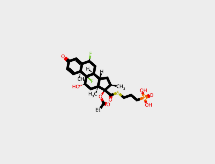 CCC(=O)O[C@]1(C(=O)SCCCP(=O)(O)O)[C@H](C)C[C@H]2[C@@H]3C[C@H](F)C4=CC(=O)C=C[C@]4(C)[C@@]3(F)[C@@H](O)C[C@@]21C